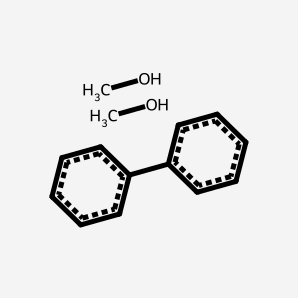 CO.CO.c1ccc(-c2ccccc2)cc1